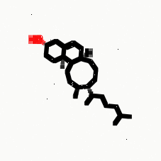 CC(C)CCCC(C)[C@H]1CCC[C@@H]2CC=C3C[C@@H](O)CC[C@]3(C)C2CC[C@@H]1C